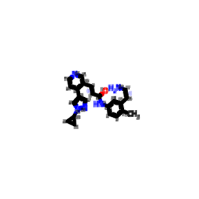 Cc1ccc(NC(=O)/C=C/c2cnccc2-c2cnn(C3CC3)c2)cc1/C=C\N